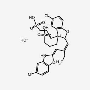 CCC(=CC1Oc2ccc(Cl)cc2[N+]1(CCCS(=O)(=O)O)CCCS(=O)(=O)O)C=C1Nc2cc(Cl)ccc2O1.[OH-]